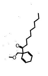 CCCCCCCCC(=O)C1(COC)C=CCC=C1